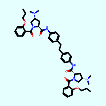 CCCOc1ccccc1C(=O)N1C[C@@H](N(C)C)C[C@H]1C(=O)Nc1ccc(CCc2ccc(NC(=O)[C@@H]3C[C@H](N(C)C)CN3C(=O)c3ccccc3OCCC)cc2)cc1